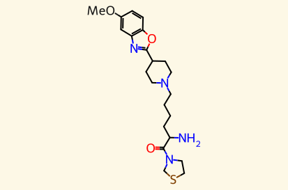 COc1ccc2oc(C3CCN(CCCCC(N)C(=O)N4CCSC4)CC3)nc2c1